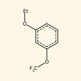 CCOc1[c]ccc(OC(F)(F)F)c1